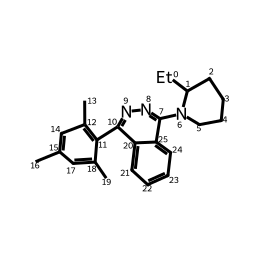 CCC1CCCCN1c1nnc(-c2c(C)cc(C)cc2C)c2ccccc12